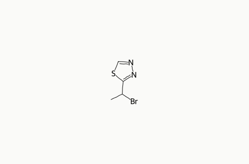 CC(Br)c1nncs1